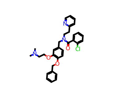 CN(C)CCOc1cc(CN(CCc2ccccn2)C(=O)c2ccccc2Cl)ccc1OCc1ccccc1